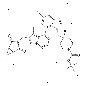 Cc1c(CN2C(=O)C3C(C2=O)C3(C)C)cn2ncnc(-c3cc(Cl)cc4ccn(CC5(F)CCN(C(=O)OC(C)(C)C)CC5)c34)c12